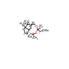 COC[C@@]1(C)OC[C@@H]2C[C@@]3(C[C@@H](C)O1)[C@H](C)CC[C@H]3C2(C)C